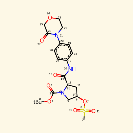 CC(C)(C)OC(=O)N1C[C@H](OS(C)(=O)=O)C[C@@H]1C(=O)Nc1ccc(N2CCOCC2=O)cc1